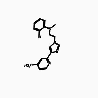 CCc1ccccc1N(C)CCn1cnc(-c2cc(C(=O)O)ccn2)c1